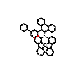 c1ccc(-c2cccc(-c3c(N(c4cccc5c4oc4ccccc45)c4cccc5c4oc4ccccc45)c4ccccc4c4ccccc34)c2)cc1